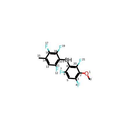 COc1c(F)cc(F)c(Bc2c(F)cc(C)c(F)c2F)c1F